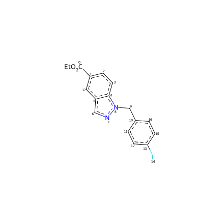 CCOC(=O)c1ccc2c(cnn2Cc2ccc(F)cc2)c1